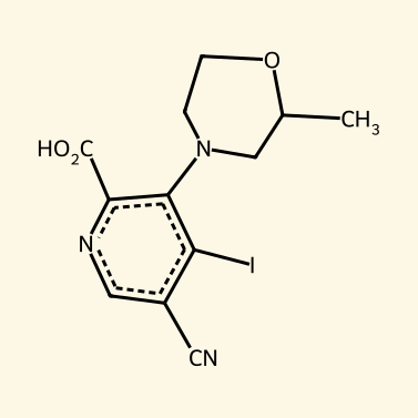 CC1CN(c2c(C(=O)O)ncc(C#N)c2I)CCO1